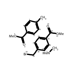 CNC.COC(=O)c1ccc(C)cc1.COC(=O)c1ccc(CBr)cc1